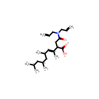 C=CCN(CC=C)C(=O)CC(C(=O)O)C(C)=CC(C)CC(C)CC(C)C